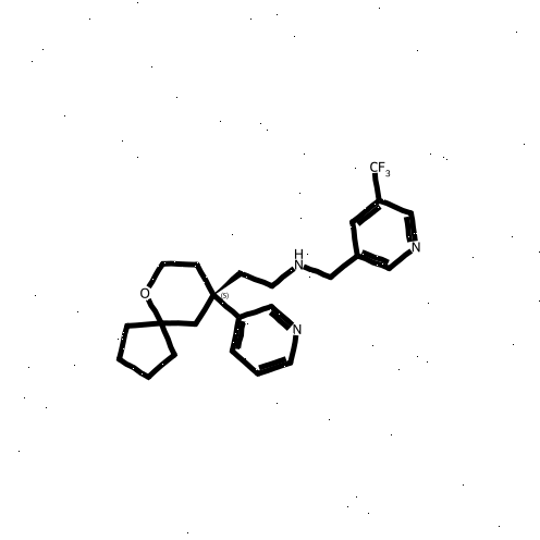 FC(F)(F)c1cncc(CNCC[C@]2(c3cccnc3)CCOC3(CCCC3)C2)c1